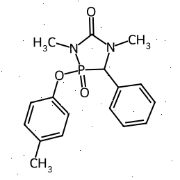 Cc1ccc(OP2(=O)C(c3ccccc3)N(C)C(=O)N2C)cc1